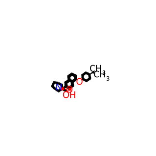 CC(C)[C@H]1CC[C@H](Oc2cccc3cc(CN4C5CCC4CC(C(=O)O)C5)ccc23)CC1